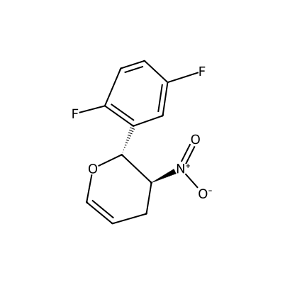 O=[N+]([O-])[C@H]1CC=CO[C@@H]1c1cc(F)ccc1F